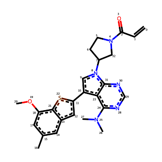 C=CC(=O)N1CCC(n2cc(-c3cc4cc(C)cc(OC)c4s3)c3c(N(C)C)ncnc32)C1